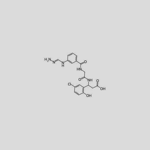 NN=CNc1cccc(C(=O)NCC(=O)NC(CC(=O)O)c2cc(Cl)ccc2O)c1